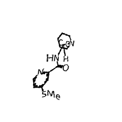 CSc1ccnc(C(=O)N[C@@H]2CC3CCN(CC3)C2)c1